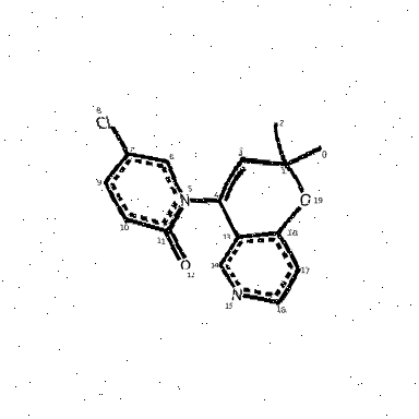 CC1(C)C=C(n2cc(Cl)ccc2=O)c2cnccc2O1